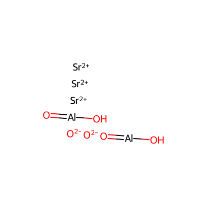 [O-2].[O-2].[O]=[Al][OH].[O]=[Al][OH].[Sr+2].[Sr+2].[Sr+2]